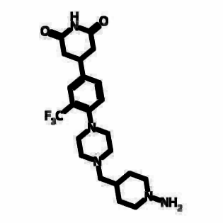 NN1CCC(CN2CCN(c3ccc(C4CC(=O)NC(=O)C4)cc3C(F)(F)F)CC2)CC1